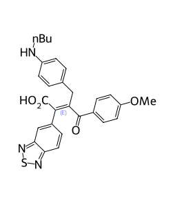 CCCCNc1ccc(C/C(C(=O)c2ccc(OC)cc2)=C(\C(=O)O)c2ccc3nsnc3c2)cc1